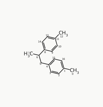 Cc1ccc([CH]C(C)c2ccc(C)cc2)cc1